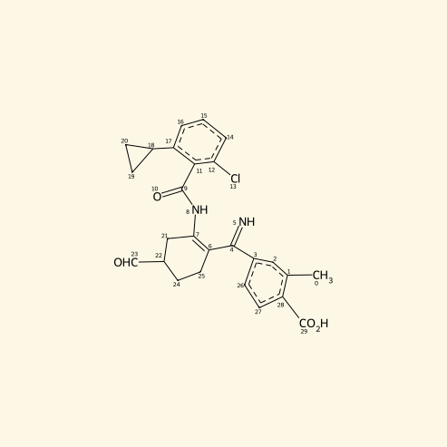 Cc1cc(C(=N)C2=C(NC(=O)c3c(Cl)cccc3C3CC3)CC(C=O)CC2)ccc1C(=O)O